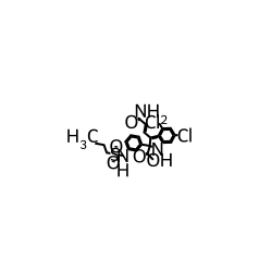 CCCCS(=O)(=O)Nc1cccc(C2(C(=O)O)N=c3cc(Cl)cc(Cl)c3=C2C=CC(N)=O)c1